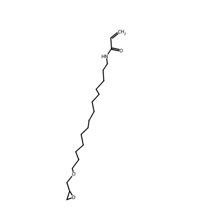 C=CC(=O)NCCCCCCCCCCCCCCOCC1CO1